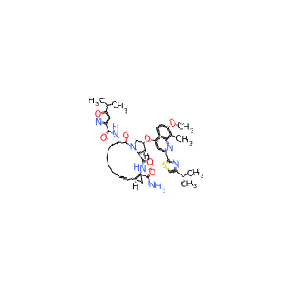 COc1ccc2c(O[C@@H]3C[C@H]4C(=O)N[C@]5(C(N)=O)C[C@H]5/C=C\CCCCC[C@H](NC(=O)c5cc(C(C)C)on5)C(=O)N4C3)cc(-c3nc(C(C)C)cs3)nc2c1C